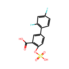 O=C(O)c1cc(-c2ccc(F)cc2F)ccc1OS(=O)(=O)O